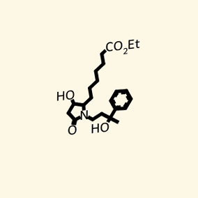 CCOC(=O)CCCCCCC1C(O)CC(=O)N1CCC(C)(O)c1ccccc1